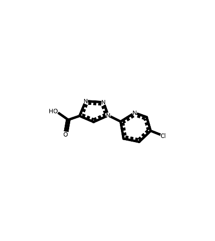 O=C(O)c1cn(-c2ccc(Cl)cn2)nn1